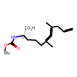 C=CCC(C)=C=C(C)CCC[C@H](NC(=O)OC(C)(C)C)C(=O)O